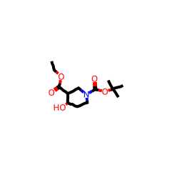 CCOC(=O)C1CN(C(=O)OC(C)(C)C)CCC1O